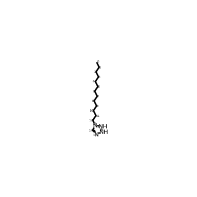 CCCCCCCCCCCCCN1C=NNN1